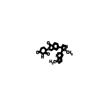 Cn1ncc(-c2ccc3c(c2)CN(C2CCC(=O)NC2=O)C3=O)c1-c1cnc2c(ccn2C)c1